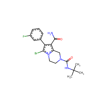 CC(C)(C)NC(=O)N1CCn2c(Br)c(-c3cccc(F)c3)c(C(N)=O)c2C1